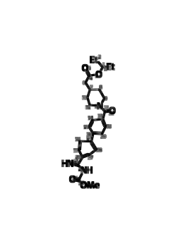 CCC(CC)OC(=O)CC1CCN(C(=O)c2ccc(-c3ccc(C(=N)NC(=O)OC)cc3)cc2)CC1